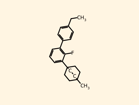 CCc1ccc(-c2cccc(C34CCC(C)(CC3)CC4)c2F)cc1